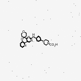 O=C(O)N1CCN(c2ccc(Nc3ncc4c(n3)C3(CCOCC3)Oc3cccnc3-4)cc2)CC1